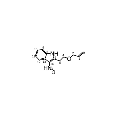 C=CCOCCc1[nH]c2ccccc2c1NC